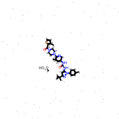 CS(=O)(=O)O.Cc1ccc(-n2nc(C3(C)CC3)cc2NC(=O)Nc2cnc(N3CCN(C(=O)c4sccc4C)CC3)c(C)c2)cc1